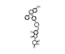 O=C1CCC(N2Cc3cc(CN4CCN(c5ccc([C@@H]6c7ccc(O)cc7CC[C@@H]6c6ccccc6)cc5)CC4)cc(F)c3C2=O)C(=O)N1